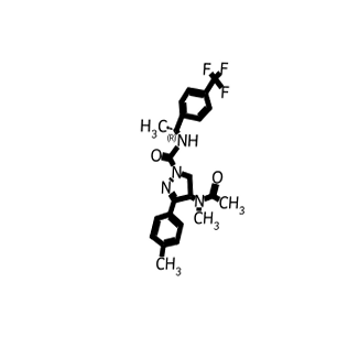 CC(=O)N(C)C1CN(C(=O)N[C@H](C)c2ccc(C(F)(F)F)cc2)N=C1c1ccc(C)cc1